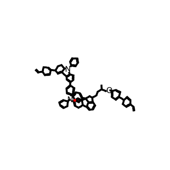 C=CC1=CCC(c2ccc(OCC(C)CCC3CC4(c5ccccc5)C5=CC(N(c6ccc(-c7ccc8c(c7)C7=CC(C9=CCC(C=C)C=C9)CCC7N8c7ccccc7)cc6)C6C=CC=CC6)=CCC5c5cccc3c54)cc2)C=C1